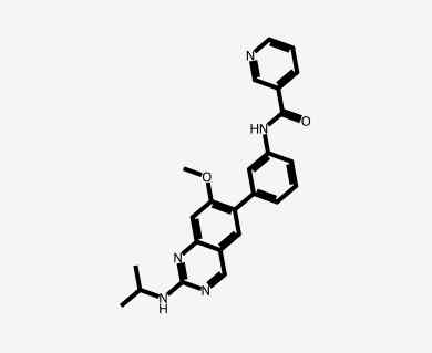 COc1cc2nc(NC(C)C)ncc2cc1-c1cccc(NC(=O)c2cccnc2)c1